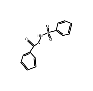 O=C(SNS(=O)(=O)c1ccccc1)c1ccccc1